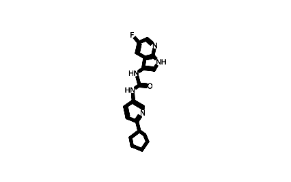 O=C(Nc1ccc(C2CCCCC2)nc1)Nc1c[nH]c2ncc(F)cc12